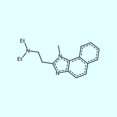 CCN(CC)CCc1nc2ccc3ccccc3c2n1C